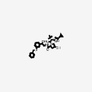 CC(C)(C)[C@@H](C(=O)N1CC(O)CC1C(=O)NCC(O)c1cccc(OCc2ccccc2)c1)n1cc(C2CC2)nn1